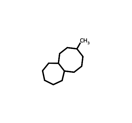 CC1CCCC2CCCCCC2CC1